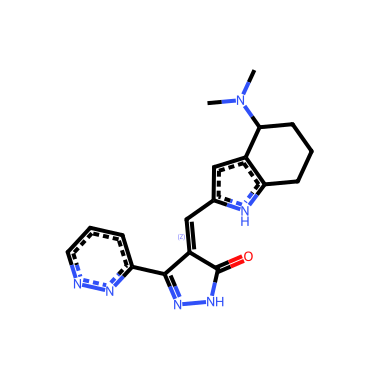 CN(C)C1CCCc2[nH]c(/C=C3\C(=O)NN=C3c3cccnn3)cc21